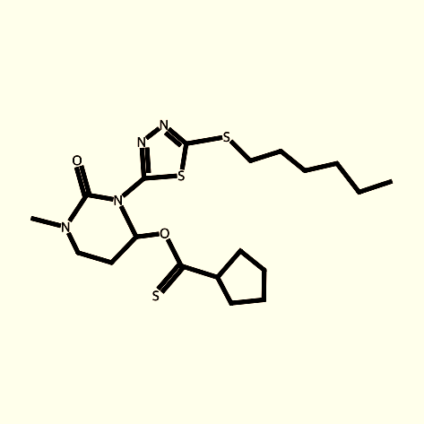 CCCCCCSc1nnc(N2C(=O)N(C)CCC2OC(=S)C2CCCC2)s1